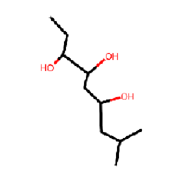 CCC(O)C(O)CC(O)CC(C)C